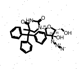 CC1(C(c2ccccc2)(c2ccccc2)c2ccccc2)CN([C@H]2C[C@@](O)(N=[N+]=[N-])[C@@H](CO)O2)C(=O)NC1=O